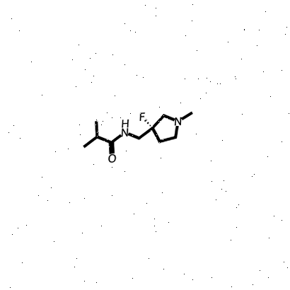 CC(C)C(=O)NC[C@]1(F)CCN(C)C1